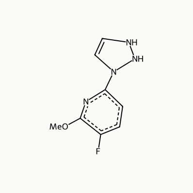 COc1nc(N2C=CNN2)ccc1F